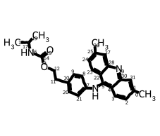 Cc1ccc2c(Nc3ccc(CCOC(=O)NC(C)C)cc3)c3ccc(C)cc3nc2c1